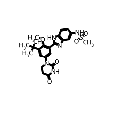 COc1c(-c2nc3cc(NS(C)(=O)=O)ccc3[nH]2)cc(N2CCC(=O)NC2=O)cc1C(C)(C)C